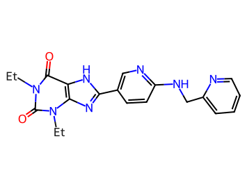 CCn1c(=O)c2[nH]c(-c3ccc(NCc4ccccn4)nc3)nc2n(CC)c1=O